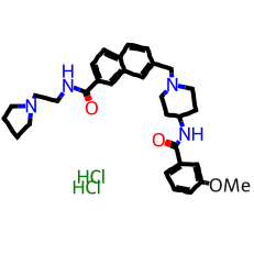 COc1cccc(C(=O)NC2CCN(Cc3ccc4ccc(C(=O)NCCN5CCCC5)cc4c3)CC2)c1.Cl.Cl